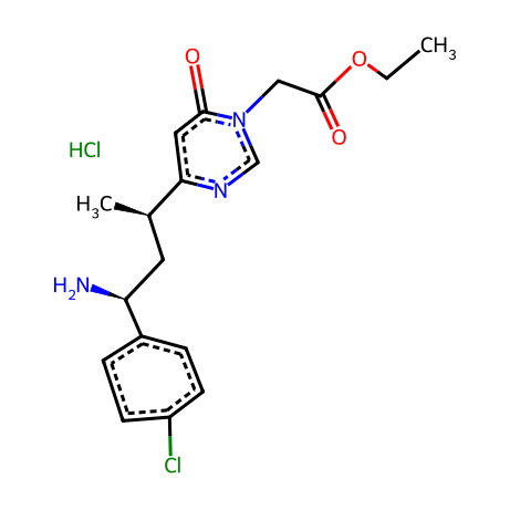 CCOC(=O)Cn1cnc([C@H](C)C[C@H](N)c2ccc(Cl)cc2)cc1=O.Cl